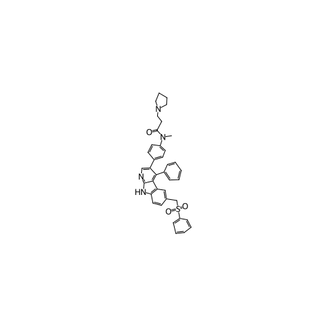 CN(C(=O)CCN1CCCC1)c1ccc(-c2cnc3[nH]c4ccc(CS(=O)(=O)c5ccccc5)cc4c3c2-c2ccccc2)cc1